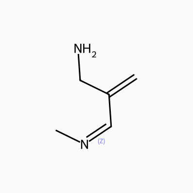 C=C(/C=N\C)CN